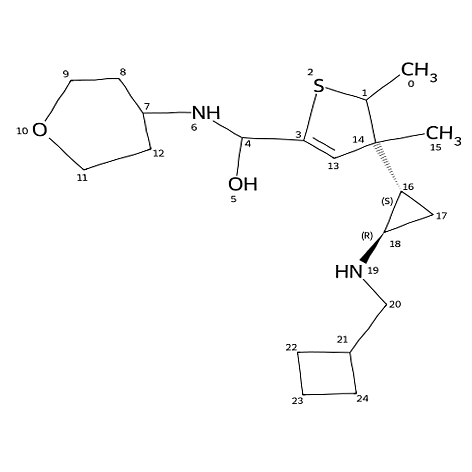 CC1SC(C(O)NC2CCOCC2)=CC1(C)[C@@H]1C[C@H]1NCC1CCC1